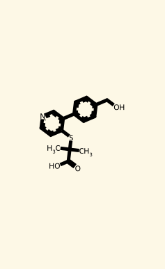 CC(C)(Sc1ccncc1-c1ccc(CO)cc1)C(=O)O